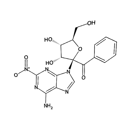 Nc1nc([N+](=O)[O-])nc2c1ncn2[C@]1(C(=O)c2ccccc2)O[C@H](CO)[C@@H](O)[C@H]1O